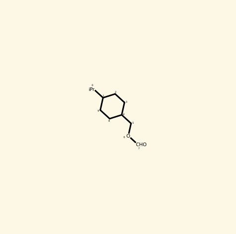 CC(C)C1CCC(COC=O)CC1